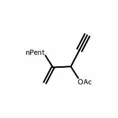 C#CC(OC(C)=O)C(=C)CCCCC